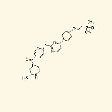 C[C@@H]1CN(C(=O)c2ccc(Nc3nccc(-c4ccc(SCCC(C)(C)O)cc4)n3)cc2)CCN1